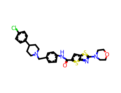 O=C(Nc1ccc(CN2CCC(c3ccc(Cl)cc3)CC2)cc1)c1cc2sc(N3CCOCC3)nc2s1